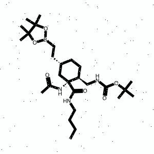 CCCCNC(=O)[C@@]1(NC(C)=O)C[C@H](CCB2OC(C)(C)C(C)(C)O2)CC[C@H]1CNC(=O)OC(C)(C)C